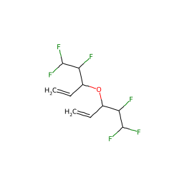 C=CC(OC(C=C)C(F)C(F)F)C(F)C(F)F